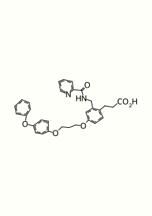 O=C(O)CCc1ccc(OCCCOc2ccc(Oc3ccccc3)cc2)cc1CNC(=O)c1ccccn1